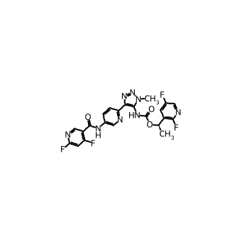 C[C@@H](OC(=O)Nc1c(-c2ccc(NC(=O)c3cnc(F)cc3F)cn2)nnn1C)c1cc(F)cnc1F